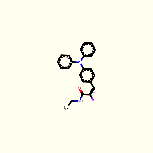 CCNC(=O)/C(I)=C\c1ccc(N(c2ccccc2)c2ccccc2)cc1